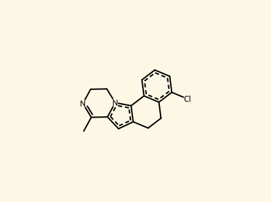 CC1=NCCn2c1cc1c2-c2cccc(Cl)c2CC1